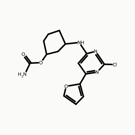 NC(=O)OC1CCCC(Nc2cc(-c3ccco3)nc(Cl)n2)C1